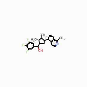 Cc1nccc2c1C=CC2C1CC(C(O)c2cc(F)c(F)c(F)c2)[C@@H](C)[C@H]1C